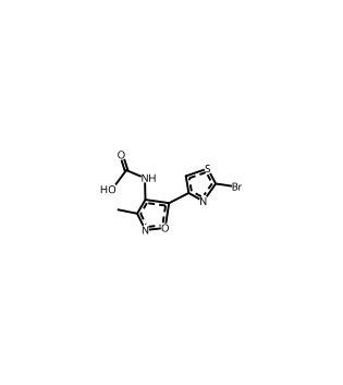 Cc1noc(-c2csc(Br)n2)c1NC(=O)O